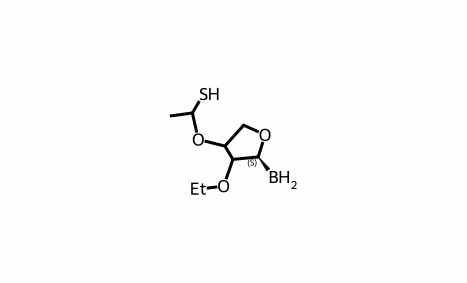 B[C@@H]1OCC(OC(C)S)C1OCC